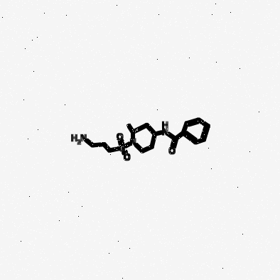 CC1CC(NC(=O)c2ccccc2)CCN1S(=O)(=O)CCCN